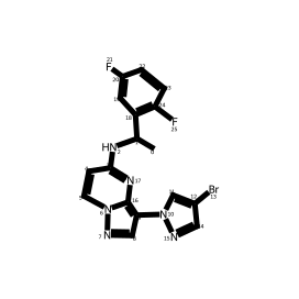 CC(Nc1ccn2ncc(-n3cc(Br)cn3)c2n1)c1cc(F)ccc1F